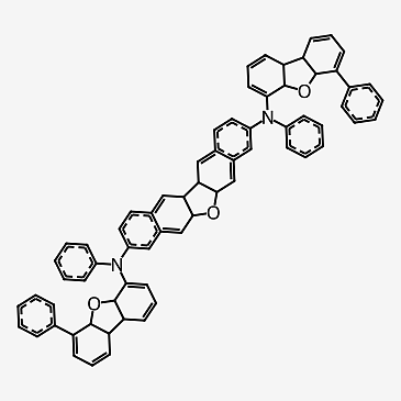 C1=CC2C(OC3C(N(c4ccccc4)c4ccc5c(c4)=CC4OC6C=c7cc(N(C8=CC=CC9C8OC8C(c%10ccccc%10)=CC=CC89)c8ccccc8)ccc7=CC6C4C=5)=CC=CC32)C(c2ccccc2)=C1